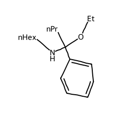 CCCCCCNC(CCC)(OCC)c1ccccc1